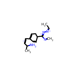 C=N/C(=N\N=C/C)C1C=CC(/C=C\C(C)N)=CC1